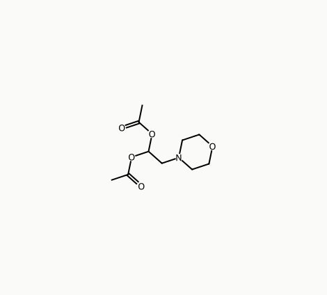 CC(=O)OC(CN1CCOCC1)OC(C)=O